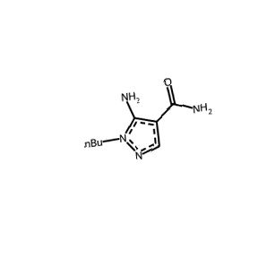 CCCCn1ncc(C(N)=O)c1N